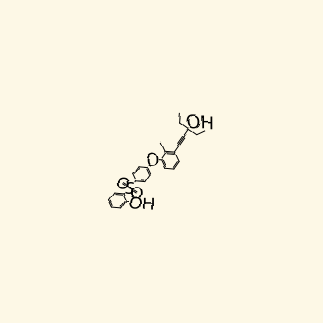 CCC(O)(C#Cc1cccc(Oc2ccc(S(=O)(=O)c3ccccc3O)cc2)c1C)CC